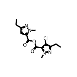 CCc1cc(C(=O)OC(=O)c2c(Cl)c(CC)nn2C)n(C)n1